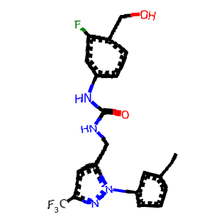 Cc1cccc(-n2nc(C(F)(F)F)cc2CNC(=O)Nc2ccc(CO)c(F)c2)c1